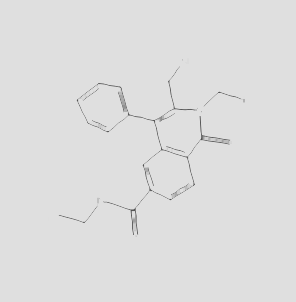 CC(C)Cn1c(CN)c(-c2ccccc2)c2cc(C(=O)NCC(F)(F)F)ccc2c1=O